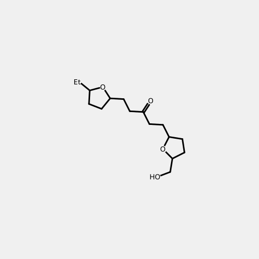 CCC1CCC(CCC(=O)CCC2CCC(CO)O2)O1